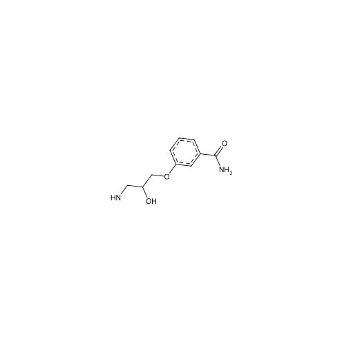 [NH]CC(O)COc1cccc(C(N)=O)c1